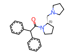 O=C(C(c1ccccc1)c1ccccc1)N1CCC[C@H]1CN1CCCC1